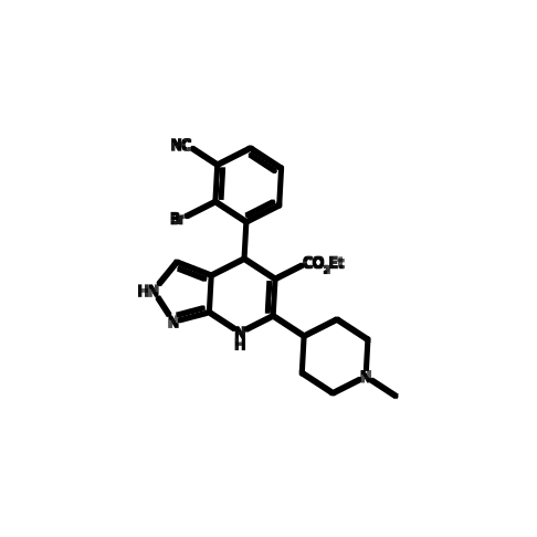 CCOC(=O)C1=C(C2CCN(C)CC2)Nc2n[nH]cc2C1c1cccc(C#N)c1Br